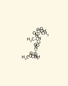 CCOC(=O)C(C)(CCC1CCN(C(=O)Oc2ccc3nc4c(c(CC)c3c2)Cn2c-4cc3c(c2=O)COC(=O)C3(O)CC)CC1)C(=O)O